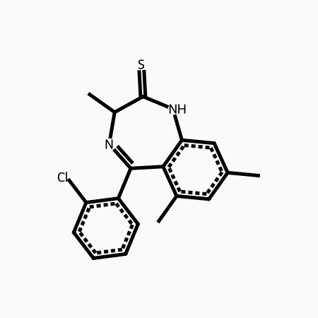 Cc1cc(C)c2c(c1)NC(=S)C(C)N=C2c1ccccc1Cl